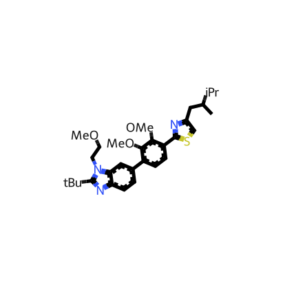 COCCn1c(C(C)(C)C)nc2ccc(-c3ccc(-c4nc(CC(C)C(C)C)cs4)c(OC)c3OC)cc21